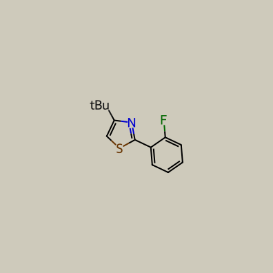 CC(C)(C)c1csc(-c2ccccc2F)n1